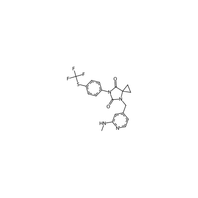 CNc1cc(CN2C(=O)N(c3ccc(SC(F)(F)F)cc3)C(=O)C23CC3)ccn1